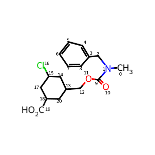 CN(Cc1ccccc1)C(=O)OCC1CC(Cl)CC(C(=O)O)C1